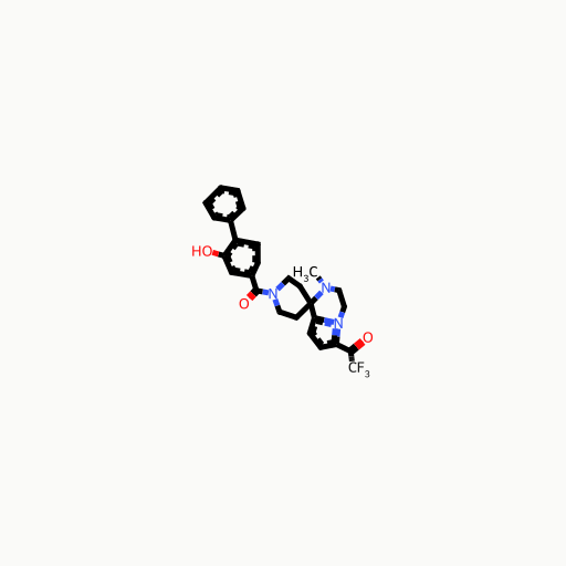 CN1CCn2c(C(=O)C(F)(F)F)ccc2C12CCN(C(=O)c1ccc(-c3ccccc3)c(O)c1)CC2